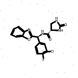 O=C1NC[C@@H](C(=O)N[C@@H](c2ccc(F)c(Cl)c2)c2nc3ccccc3o2)N1